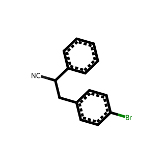 N#CC(Cc1ccc(Br)cc1)c1ccccc1